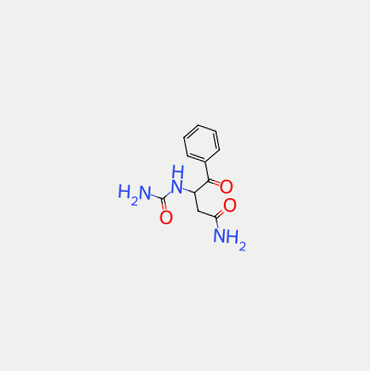 NC(=O)CC(NC(N)=O)C(=O)c1ccccc1